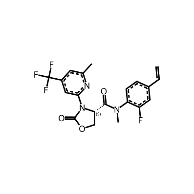 C=Cc1ccc(N(C)C(=O)[C@@H]2COC(=O)N2c2cc(C(F)(F)F)cc(C)n2)c(F)c1